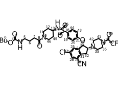 CC(C)(C)OC(=O)NCCCC(=O)N1CCC(NS(=O)(=O)c2ccc(O[C@H]3c4cc(Cl)cc(C#N)c4C[C@@H]3N3CCN(C(=O)C(F)(F)F)CC3)cc2)CC1